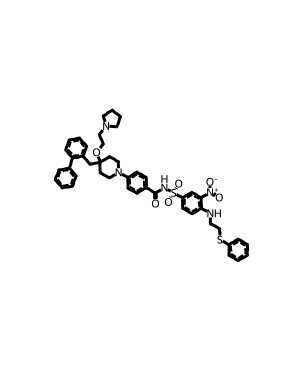 O=C(NS(=O)(=O)c1ccc(NCCSc2ccccc2)c([N+](=O)[O-])c1)c1ccc(N2CCC(Cc3ccccc3-c3ccccc3)(OCCN3CCCC3)CC2)cc1